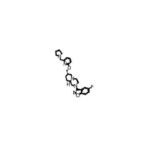 Fc1ccc2onc(N3CCN4C[C@H](COc5cccc(CN6CCCC6)n5)CC[C@H]4C3)c2c1